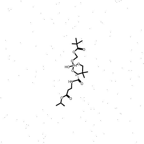 CC(C)OC(=O)CCNC(=O)[C@@H]1O[PH](O)(OCOC(=O)C(C)(C)C)OCC1(C)C